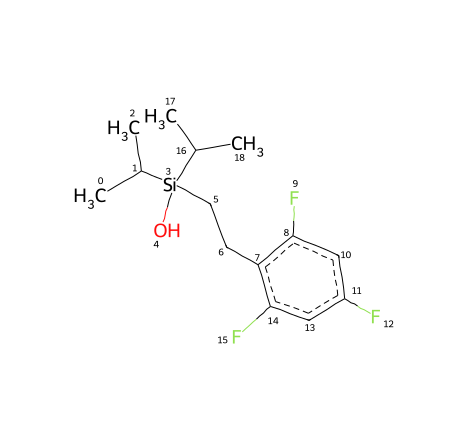 CC(C)[Si](O)(CCc1c(F)cc(F)cc1F)C(C)C